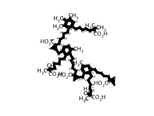 Cc1cc(CCCCCC2(C(=O)O)CC2)c(CCCCCC(C)(C)C(=O)O)c(CC2CC2(CCCCCc2c(C)ccc(CC3CC3(CCCCCc3c(CCCCCC(C)(C)C(=O)O)cc(C)c(C)c3C)C(=O)O)c2CCCCCC(C)(C)C(=O)O)C(=O)O)c1